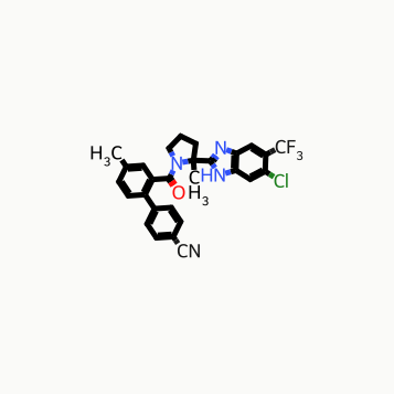 Cc1ccc(-c2ccc(C#N)cc2)c(C(=O)N2CCCC2(C)c2nc3cc(C(F)(F)F)c(Cl)cc3[nH]2)c1